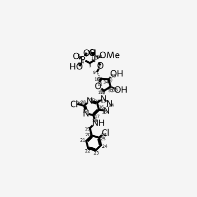 CO[P@](=O)(CP(=O)(O)O)OC[C@H]1O[C@@H](n2nnc3c(NCc4ccccc4Cl)nc(Cl)nc32)[C@H](O)[C@@H]1O